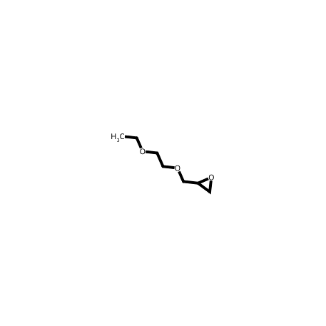 CCOCCOCC1CO1